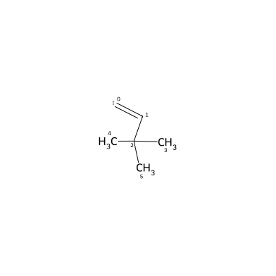 [C]=CC(C)(C)C